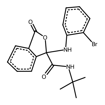 CC(C)(C)NC(=O)C1(Nc2ccccc2Br)OC(=O)c2ccccc21